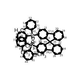 Cc1ccccc1P(=O)(c1ccc2c(c1)C1(c3ccccc3-2)c2ccccc2-c2ccc(P(=O)(c3ccccc3C)c3ccccc3C)cc21)c1ccccc1C